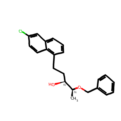 C[C@H](OCc1ccccc1)[C@@H](O)CCc1cccc2cc(Cl)ccc12